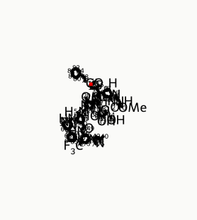 COC(=O)Nc1nc2ccc(C(=O)c3cccs3)cc2[nH]1.COc1nc(N)nc2c1ncn2[C@@H]1O[C@H](CO)[C@@H](O)[C@@H]1O.Cc1cn(-c2cc(NC(=O)c3ccc(C)c(Nc4nccc(-c5cccnc5)n4)c3)cc(C(F)(F)F)c2)cn1.O=C(O)CCc1ccccc1